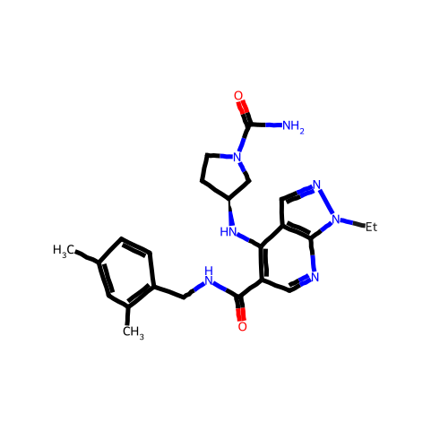 CCn1ncc2c(N[C@H]3CCN(C(N)=O)C3)c(C(=O)NCc3ccc(C)cc3C)cnc21